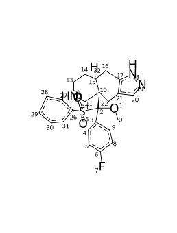 COC(c1ccc(F)cc1)([C@@]12CNCC[C@H]1Cc1[nH]ncc1C2)S(=O)(=O)c1ccccc1